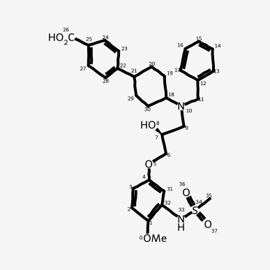 COc1ccc(OC[C@@H](O)CN(Cc2ccccc2)C2CCC(c3ccc(C(=O)O)cc3)CC2)cc1NS(C)(=O)=O